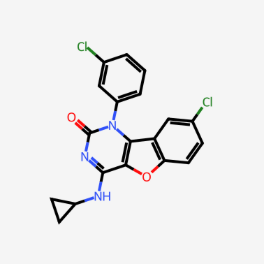 O=c1nc(NC2CC2)c2oc3ccc(Cl)cc3c2n1-c1cccc(Cl)c1